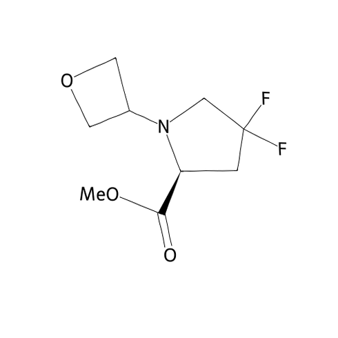 COC(=O)[C@@H]1CC(F)(F)CN1C1COC1